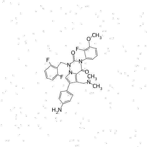 COc1cccc(-n2c(=O)c3c(CN(C)C)c(-c4ccc(N)cc4)cn3n(Cc3c(F)cccc3F)c2=O)c1F